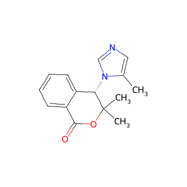 Cc1cncn1[C@H]1c2ccccc2C(=O)OC1(C)C